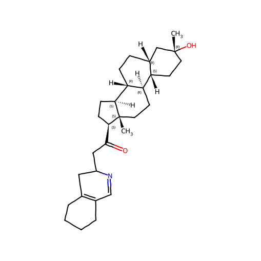 C[C@@]1(O)CC[C@H]2[C@H](CC[C@@H]3[C@@H]2CC[C@]2(C)[C@@H](C(=O)CC4CC5=C(C=N4)CCCC5)CC[C@@H]32)C1